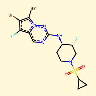 CC(C)c1c(Br)c(F)c2cnc(N[C@@H]3CCN(S(=O)(=O)C4CC4)C[C@H]3F)nn12